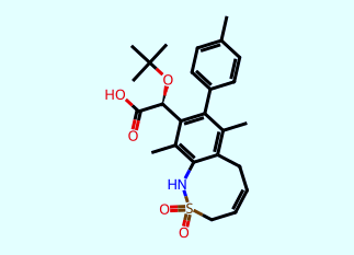 Cc1ccc(-c2c(C)c3c(c(C)c2[C@H](OC(C)(C)C)C(=O)O)NS(=O)(=O)C/C=C\C3)cc1